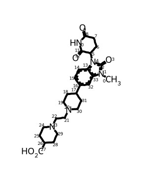 Cn1c(=O)n(C2CCC(=O)NC2=O)c2ccc(C3CCN(CCN4CCC(C(=O)O)CC4)CC3)cc21